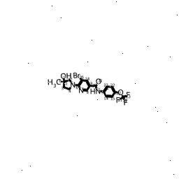 C[C@]1(O)CCN(c2ncc(C(=O)Nc3ccc(OC(F)(F)F)cc3)cc2Br)C1